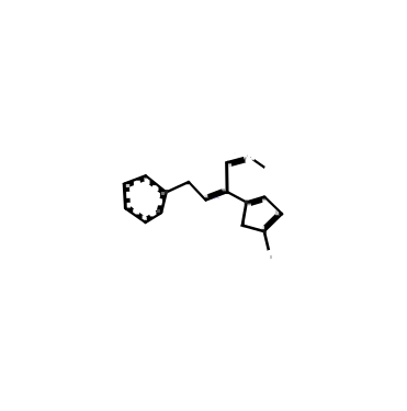 C/N=C\C(=C/Cc1ccccc1)C1=CC=C(C(C)C)C1